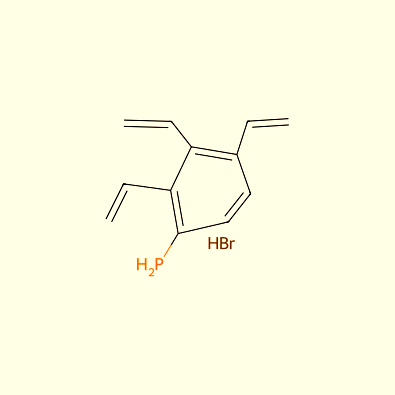 Br.C=Cc1ccc(P)c(C=C)c1C=C